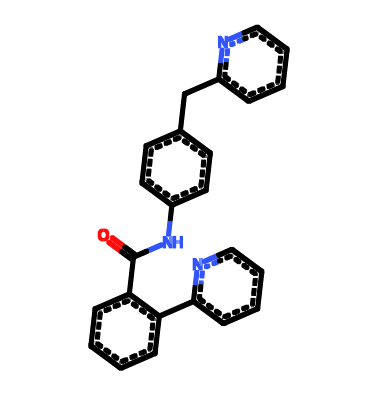 O=C(Nc1ccc(Cc2ccccn2)cc1)c1ccccc1-c1ccccn1